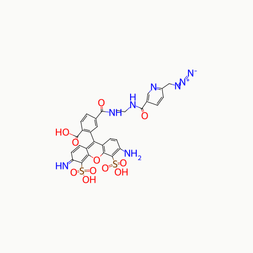 [N-]=[N+]=NCc1ccc(C(=O)NCCNC(=O)c2ccc(C(=O)O)c(-c3c4ccc(=N)c(S(=O)(=O)O)c-4oc4c(S(=O)(=O)O)c(N)ccc34)c2)cn1